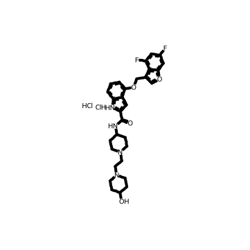 Cl.Cl.O=C(NC1CCN(CCN2CCC(O)CC2)CC1)c1cc2c(OCc3coc4cc(F)cc(F)c34)cccc2[nH]1